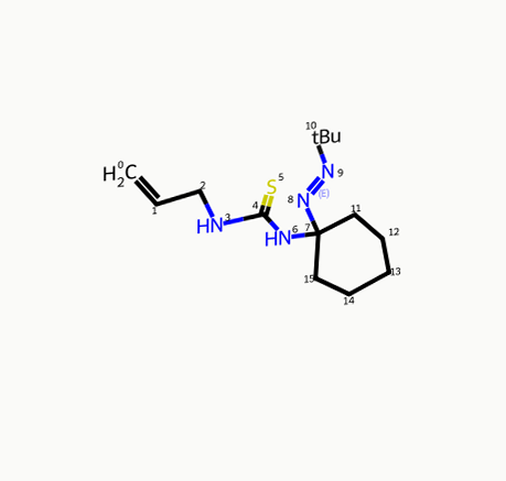 C=CCNC(=S)NC1(/N=N/C(C)(C)C)CCCCC1